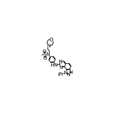 CC(C)n1nnc2ccc3cnc(Nc4ccc(N(CCN5CCOCC5)S(C)(=O)=O)cc4)nc3c21